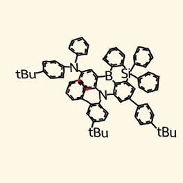 CC(C)(C)c1ccc(-c2cc3c4c(c2)[Si](c2ccccc2)(c2ccccc2)c2ccccc2B4c2cc(N(c4ccccc4)c4ccc(C(C)(C)C)cc4)ccc2N3c2ccc(C(C)(C)C)cc2-c2ccccc2)cc1